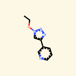 CCOn1cc(-c2[c]nccc2)nn1